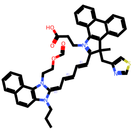 CCCN1/C(=C/C=C/C=C/C2=[N+](CCC(=O)O)c3c(c4ccccc4c4ccccc34)C2(C)Cc2cscn2)N(CCOC=O)c2c1ccc1ccccc21